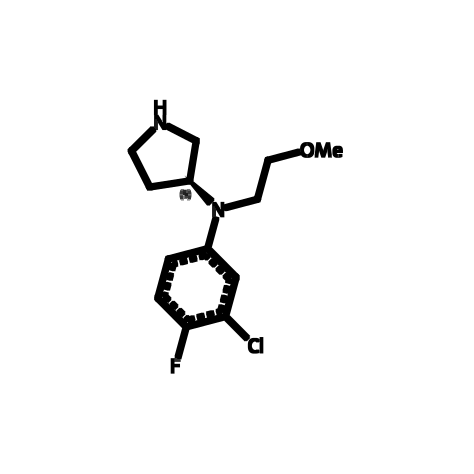 COCCN(c1ccc(F)c(Cl)c1)[C@H]1CCNC1